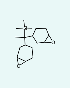 CC(C1CCC2OC2C1)(C1CCC2OC2C1)[Si](C)(C)C